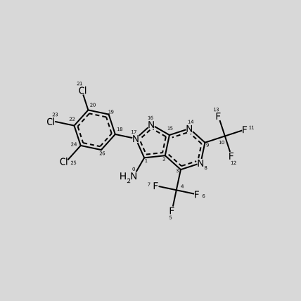 Nc1c2c(C(F)(F)F)nc(C(F)(F)F)nc2nn1-c1cc(Cl)c(Cl)c(Cl)c1